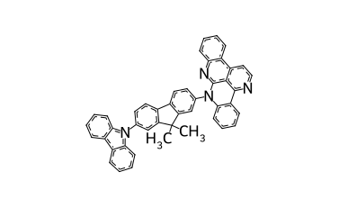 CC1(C)c2cc(N3c4ccccc4-c4nccc5c4c3nc3ccccc35)ccc2-c2ccc(-n3c4ccccc4c4ccccc43)cc21